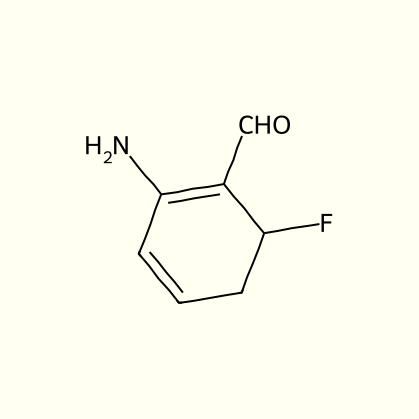 NC1=C(C=O)C(F)CC=C1